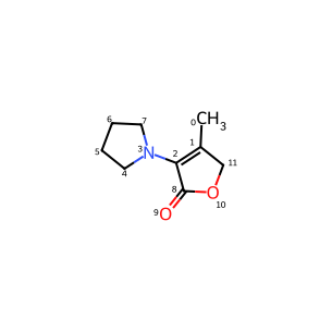 CC1=C(N2CCCC2)C(=O)OC1